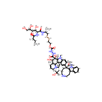 CCC(O)(CC)C[C@H]1CNCCc2c([nH]c3ccccc23)[C@@](C(=O)OC)(c2cc3c(cc2OC)N(C)[C@H]2[C@@](O)(C(=O)NNC(=O)OCCSSC[C@H](NC(=O)[C@@H](NC(=O)[C@@H](C)CC(=O)O)[C@@H](O)[C@H](O)[C@H](O)CO)C(=O)O)[C@H](O)[C@]4(CC)C=CCN5CC[C@]32[C@@H]54)C1